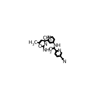 CC1=C[C@@](C)(c2cc(NC(=O)c3ccc(C#N)cn3)ccn2)N=C(N)O1